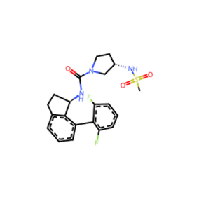 CS(=O)(=O)N[C@H]1CCN(C(=O)N[C@@H]2CCc3cccc(-c4c(F)cccc4F)c32)C1